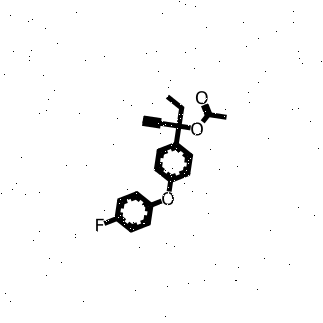 C#CC(CC)(OC(C)=O)c1ccc(Oc2ccc(F)cc2)cc1